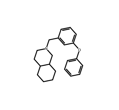 c1ccc(Oc2cccc(CN3CCC4CCCCC4C3)c2)cc1